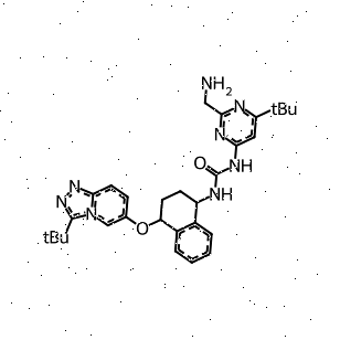 CC(C)(C)c1cc(NC(=O)NC2CCC(Oc3ccc4nnc(C(C)(C)C)n4c3)c3ccccc32)nc(CN)n1